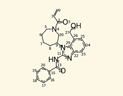 C=CC(=O)N1CCCCC(n2c(NC(=O)c3ccccc3)nc3cccc(CO)c32)C1